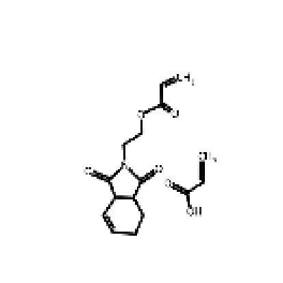 C=CC(=O)O.C=CC(=O)OCCN1C(=O)C2C=CCCC2C1=O